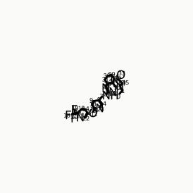 CCN1c2nc(NCc3ccc(Oc4ccc(C(F)(F)F)nc4)nc3)nc3c2N(CCC3)C(=O)[C@@H]1C